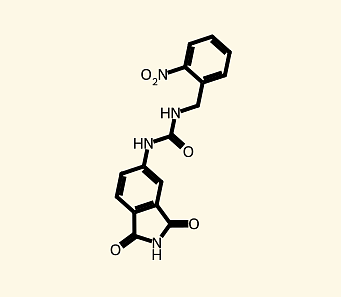 O=C(NCc1ccccc1[N+](=O)[O-])Nc1ccc2c(c1)C(=O)NC2=O